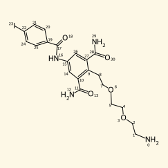 NCCOCCOCCc1c(C(N)=O)cc(NC(=O)c2ccc(I)cc2)cc1C(N)=O